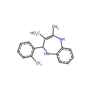 CC1=C(C(=O)O)C(c2ccccc2C(F)(F)F)Nc2ccccc2N1